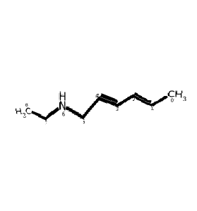 CC=CC=CCNCC